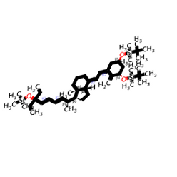 C=C1/C(=C\C=C2/CCC[C@]3(C)[C@@H]([C@H](C)/C=C/C=C/C(CC)(CC)O[Si](C)(C)C)CC[C@@H]23)C[C@@H](O[Si](C)(C)C(C)(C)C)C[C@@H]1O[Si](C)(C)C(C)(C)C